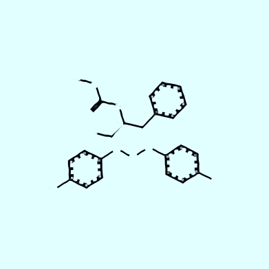 CC(=O)c1ccc(OOOc2ccc(C(C)=O)cc2)cc1.CC(C)(C)OC(=O)N[C@H](CO)Cc1ccccc1